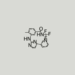 Cc1ccc(C(=O)NC(F)(F)F)cc1Nc1nccc(-c2cccnc2)n1